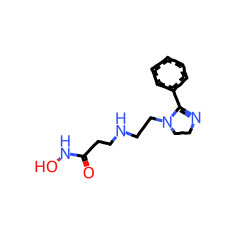 O=C(CCNCCN1CCN=C1c1ccccc1)NO